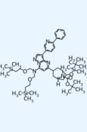 CC(C)(C)OC(=O)N1C2CC(c3cc(N(COCC[Si](C)(C)C)COCC[Si](C)(C)C)n4ncc(-c5ccc(-c6ccccc6)nc5)c4n3)C[C@H]1CC2O[Si](C)(C)C(C)(C)C